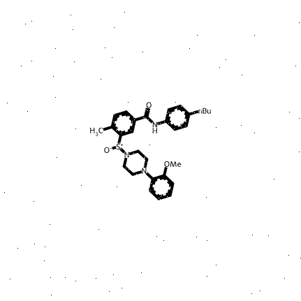 CCCCc1ccc(NC(=O)c2ccc(C)c([S+]([O-])N3CCN(c4ccccc4OC)CC3)c2)cc1